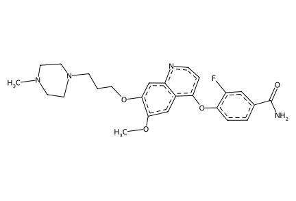 COc1cc2c(Oc3ccc(C(N)=O)cc3F)ccnc2cc1OCCCN1CCN(C)CC1